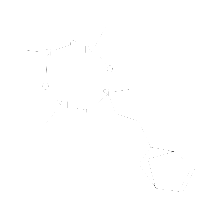 C[SiH]1O[SiH](C)O[Si](C)(CCC2CC3C=CC2C3)O[SiH](C)O1